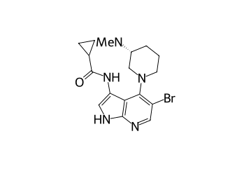 CN[C@@H]1CCCN(c2c(Br)cnc3[nH]cc(NC(=O)C4CC4)c23)C1